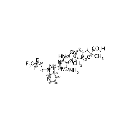 CC(C)(Cc1ccc([C@@]2(C)C(=O)Nc3nc(-c4nn(CCC(F)(F)C(F)(F)F)c5ncccc45)nc(N)c32)nc1)C(=O)O